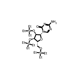 CC[Si](CC)(CC)OC[C@H]1O[C@@H](n2cnc(N)nc2=O)[C@H](O[Si](CC)(CC)CC)[C@@H]1O[Si](CC)(CC)CC